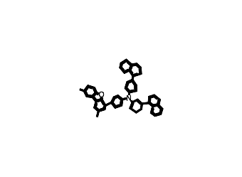 Cc1ccc2oc3c(-c4ccc(N(C5=CCCC(c6cccc7ccccc67)=C5)c5ccc(-c6cccc7ccccc67)cc5)cc4)cc(C)cc3c2c1